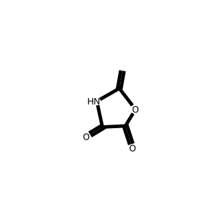 C=C1NC(=O)C(=O)O1